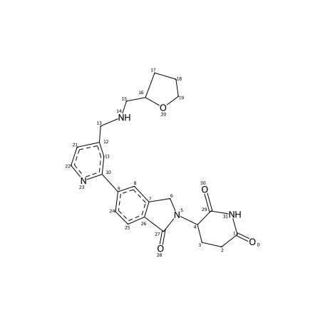 O=C1CCC(N2Cc3cc(-c4cc(CNCC5CCCO5)ccn4)ccc3C2=O)C(=O)N1